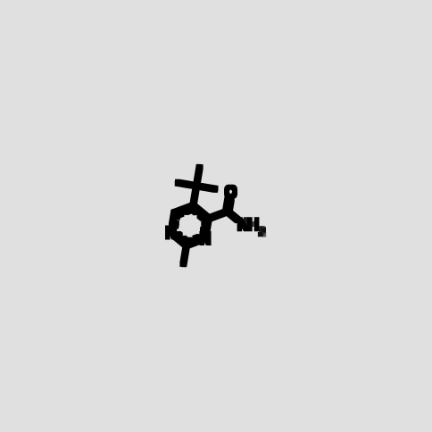 Cc1ncc(C(C)(C)C)c(C(N)=O)n1